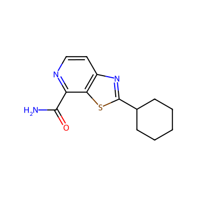 NC(=O)c1nccc2nc(C3CCCCC3)sc12